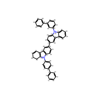 C1=Cc2c(n(-c3ccc(-c4ccccc4)cc3)c3ccc(-c4ccc5c(c4)c4ccccc4n5-c4cccc(-c5ccccc5)c4)cc23)CC1